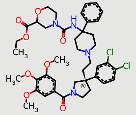 CCOC(=O)C1CN(C(=O)NC2(c3ccccc3)CCN(CC[C@@]3(c4ccc(Cl)c(Cl)c4)CCN(C(=O)c4cc(OC)c(OC)c(OC)c4)C3)CC2)CCO1